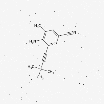 Cc1cc(C#N)cc(C#C[Si](C)(C)C)c1N